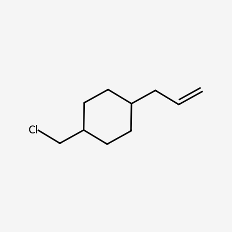 C=CCC1CCC(CCl)CC1